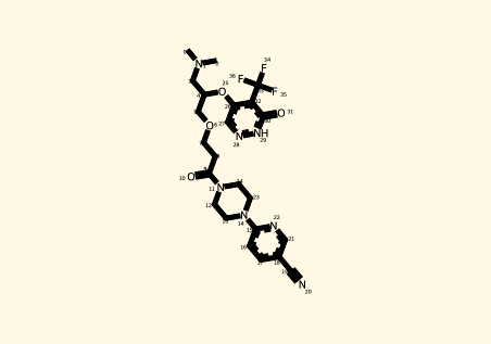 CN(C)CC(COCCC(=O)N1CCN(c2ccc(C#N)cn2)CC1)Oc1cn[nH]c(=O)c1C(F)(F)F